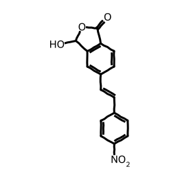 O=C1OC(O)c2cc(/C=C/c3ccc([N+](=O)[O-])cc3)ccc21